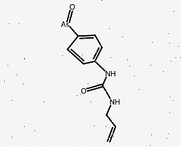 C=CCNC(=O)Nc1ccc([As]=O)cc1